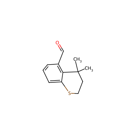 CC1(C)CCSc2cccc(C=O)c21